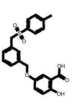 Cc1ccc(S(=O)(=O)Cc2cccc(COc3ccc(O)c(C(=O)O)c3)c2)cc1